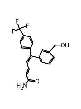 NC(=O)C=CC=C(c1ccc(C(F)(F)F)cc1)c1cccc(CO)c1